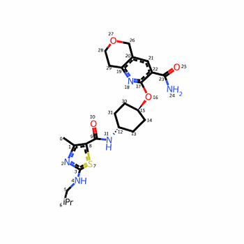 Cc1nc(NCC(C)C)sc1C(=O)N[C@H]1CC[C@H](Oc2nc3c(cc2C(N)=O)COCC3)CC1